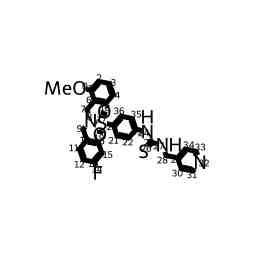 COc1ccccc1CN(Cc1ccc(F)cc1)S(=O)(=O)c1ccc(NC(=S)NCc2ccncc2)cc1